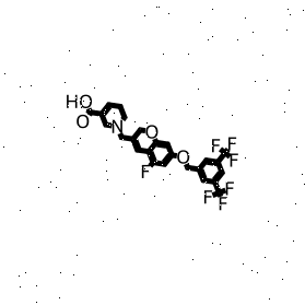 O=C(O)C1=CCCN(CC2=Cc3c(F)cc(OCc4cc(C(F)(F)F)cc(C(F)(F)F)c4)cc3OC2)C1